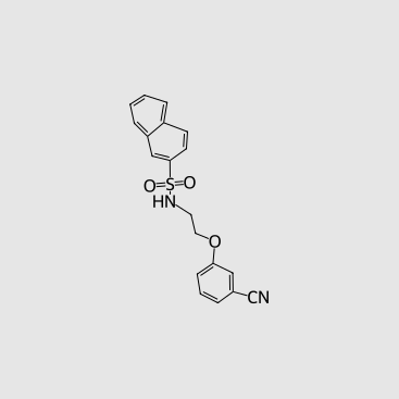 N#Cc1cccc(OCCNS(=O)(=O)c2ccc3ccccc3c2)c1